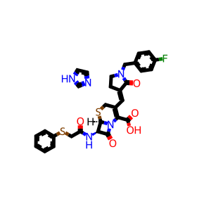 O=C(CSc1ccccc1)N[C@@H]1C(=O)N2C(C(=O)O)=C(/C=C3\CCN(Cc4ccc(F)cc4)C3=O)CS[C@H]12.c1c[nH]cn1